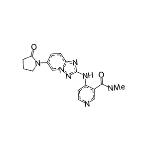 CNC(=O)c1cnccc1Nc1nc2ccc(N3CCCC3=O)cn2n1